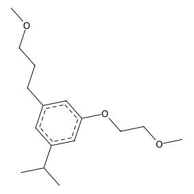 COCCCc1cc(OCCOC)cc(C(C)C)c1